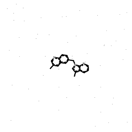 Cc1cnc2ccc(Cn3cc(C)c4cccnc43)cc2c1